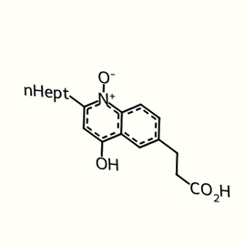 CCCCCCCc1cc(O)c2cc(CCC(=O)O)ccc2[n+]1[O-]